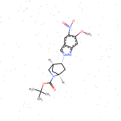 COc1cc2nn([C@@H]3C[C@@H]4C[C@H]3CN4C(=O)OC(C)(C)C)cc2cc1[N+](=O)[O-]